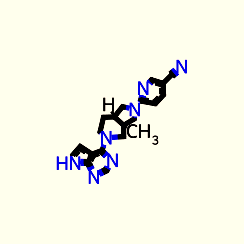 C[C@@]12CN(c3ccc(C#N)cn3)C[C@H]1CCN(c1ncnc3[nH]ccc13)C2